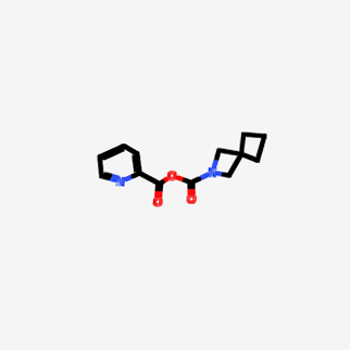 O=C(OC(=O)N1CC2(CCC2)C1)c1ccccn1